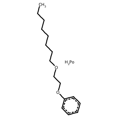 CCCCCCCCOCCOc1ccccc1.[PoH2]